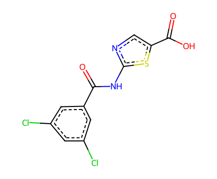 O=C(Nc1ncc(C(=O)O)s1)c1cc(Cl)cc(Cl)c1